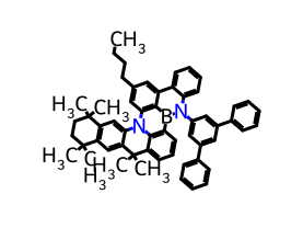 CCCCc1cc2c3c(c1)N1c4cc5c(cc4C(C)(C)c4cccc(c41)B3N(c1cc(-c3ccccc3)cc(-c3ccccc3)c1)c1ccccc1-2)C(C)(C)CCC5(C)C